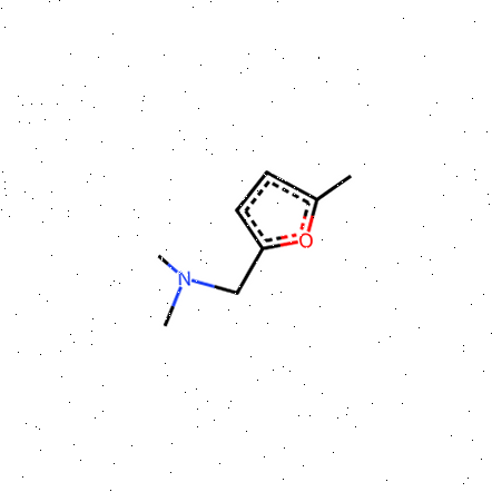 Cc1ccc(CN(C)C)o1